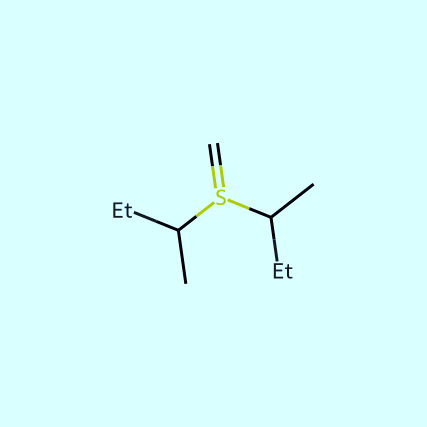 C=S(C(C)CC)C(C)CC